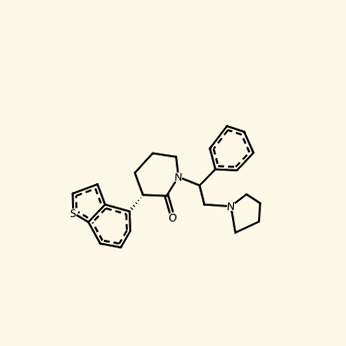 O=C1[C@H](c2cccc3sccc23)CCCN1C(CN1CCCC1)c1ccccc1